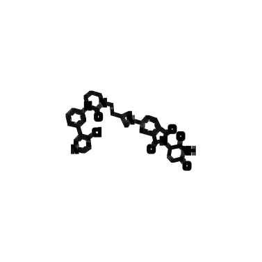 O=C1CCC(N2C(=O)c3ccc(N4CC(CCN5CCCN(c6cccc(-c7cnccc7Cl)c6)C5=O)C4)cc3C2=O)C(=O)N1